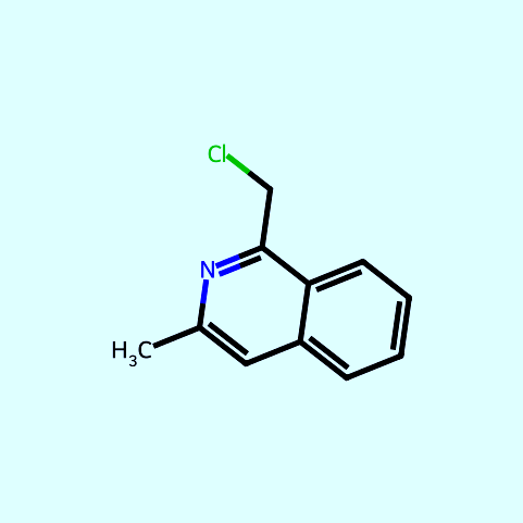 Cc1cc2ccccc2c(CCl)n1